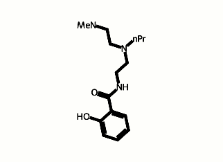 CCCN(CCNC)CCNC(=O)c1ccccc1O